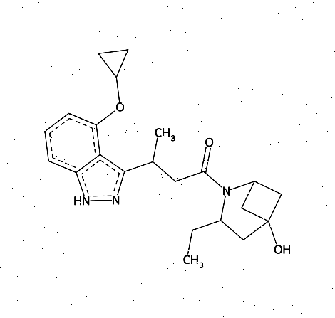 CCC1CC2(O)CC(C2)N1C(=O)CC(C)c1n[nH]c2cccc(OC3CC3)c12